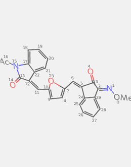 CO/N=C1/C(=O)/C(=C/c2ccc(/C=C3/C(=O)N(C(C)=O)c4ccccc43)o2)c2ccccc21